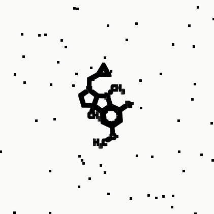 COc1cc(Br)c2c(c1)C1(C)CCN(CC3CC3)C1N2C